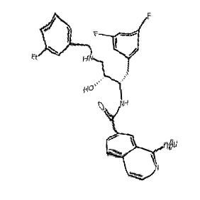 CCCCc1nccc2ccc(C(=O)N[C@@H](Cc3cc(F)cc(F)c3)[C@H](O)CNCc3cccc(CC)c3)cc12